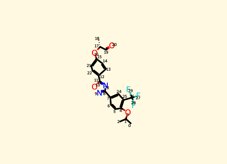 CC(C)Oc1ccc(-c2noc(-c3ccc(O[C@H](C)C=O)cc3)n2)cc1C(F)(F)F